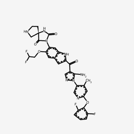 Cc1cc(Oc2c(F)cccc2F)ncc1-n1ncc(C(=O)c2cc3cc(OCC(F)F)c(N4C(=O)N[C@]5(CCNC5)C4=O)cc3[nH]2)c1N